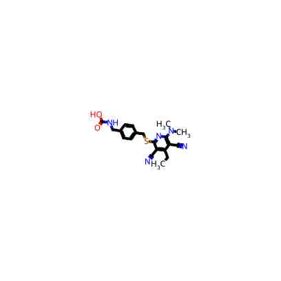 CCc1c(C#N)c(SCc2ccc(CNC(=O)O)cc2)nc(N(C)C)c1C#N